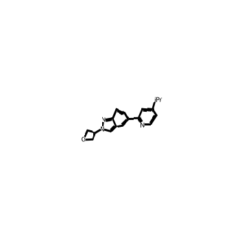 CC(C)c1ccnc(-c2ccc3nn(C4COC4)cc3c2)c1